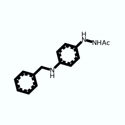 CC(=O)NNc1ccc(NCc2ccccc2)cc1